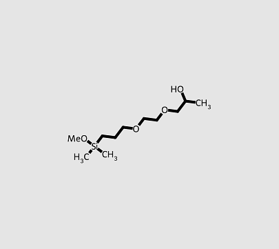 CO[Si](C)(C)CCCOCCOCC(C)O